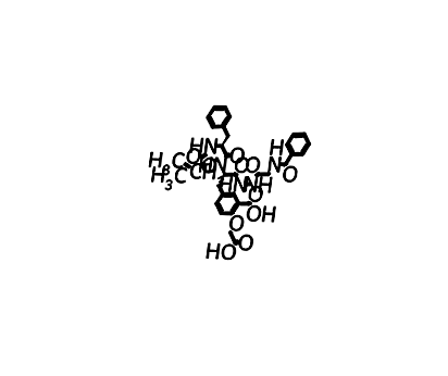 CC(C)(C)OC(=O)N[C@@H](Cc1ccccc1)C(=O)N[C@@H](Cc1ccc(OCC(=O)O)c(C(=O)O)c1)C(=O)NNC(=O)CNC(=O)c1ccccc1